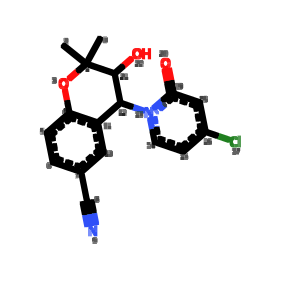 CC1(C)Oc2ccc(C#N)cc2C(n2ccc(Cl)cc2=O)C1O